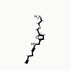 C#CCCC#CNCc1ccc(CSCCN)o1